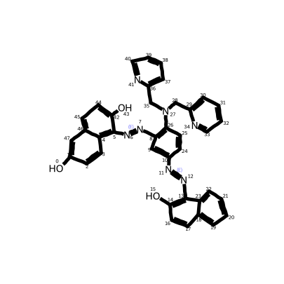 Oc1ccc2c(/N=N/c3cc(/N=N/c4c(O)ccc5ccccc45)ccc3N(Cc3ccccn3)Cc3ccccn3)c(O)ccc2c1